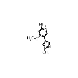 COc1nc(N)ncc1-c1cnn(C)c1